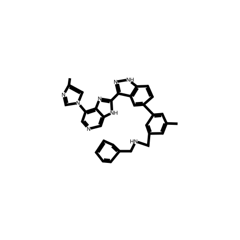 Cc1cc(CNCc2ccccc2)cc(-c2ccc3[nH]nc(-c4nc5c(-n6cnc(C)c6)cncc5[nH]4)c3c2)c1